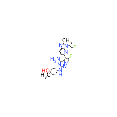 Cc1nc2ccc(-c3c(F)cn4nc(NC5CCC(C)(O)CC5)nc(N)c34)nc2n1CCF